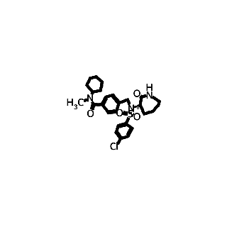 CN(C(=O)c1ccc(CN([C@@H]2CCCCNC2=O)S(=O)(=O)c2ccc(Cl)cc2)cc1)C1CCCCC1